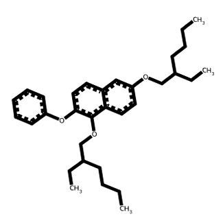 CCCCC(CC)COc1ccc2c(OCC(CC)CCCC)c(Oc3ccccc3)ccc2c1